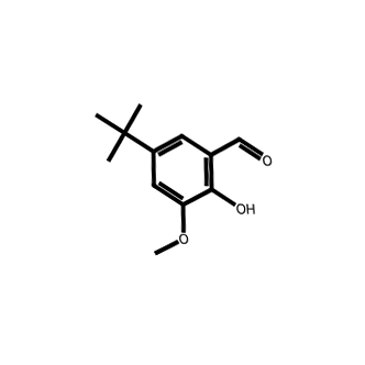 COc1cc(C(C)(C)C)cc(C=O)c1O